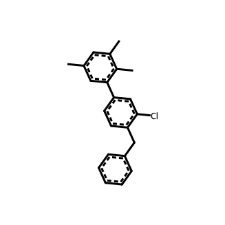 Cc1cc(C)c(C)c(-c2ccc(Cc3ccccc3)c(Cl)c2)c1